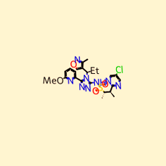 CC[C@H](c1conc1C)n1c(NS(=O)(=O)[C@@H](C)[C@H](C)c2ncc(Cl)cn2)nnc1-c1cccc(OC)n1